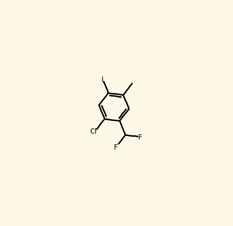 Cc1cc(C(F)F)c(Cl)cc1I